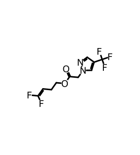 O=C(Cn1cc(C(F)(F)F)cn1)OCCC=C(F)F